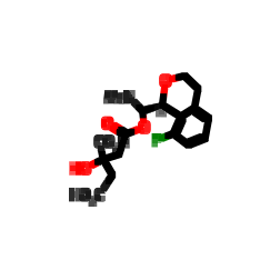 CNC(OC(=O)CC(O)(CC(=O)O)C(=O)O)[C@H]1OCCc2cccc(F)c21